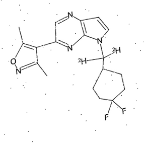 [2H]C([2H])(C1CCC(F)(F)CC1)n1ccc2ncc(-c3c(C)noc3C)nc21